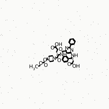 CCOC(=O)ON1CCN(C(=O)[C@H](CCC(=O)O)NC(=O)c2cc(N[C@H](CC(=O)O)c3ccccc3)nc(-c3ccccc3)n2)CC1